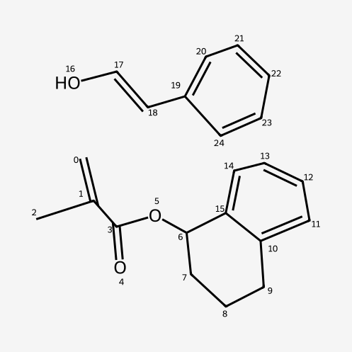 C=C(C)C(=O)OC1CCCc2ccccc21.OC=Cc1ccccc1